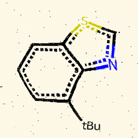 CC(C)(C)c1cccc2s[c]nc12